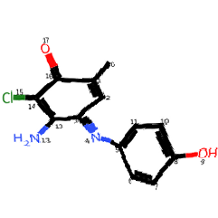 CC1=C/C(=N\c2ccc(O)cc2)C(N)=C(Cl)C1=O